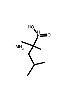 CC(C)CC(C)(C)[PH](=O)O.[AlH3]